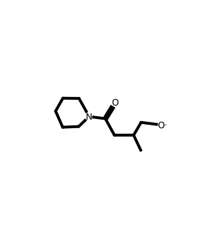 CC(C[O])CC(=O)N1CCCCC1